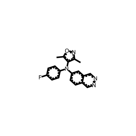 Cc1noc(C)c1N(c1ccc(F)cc1)c1ccc2cnncc2c1